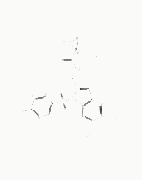 COc1cc2c(cc1SC)cc(CNC(=O)C1(C)CC1)n2S(=O)(=O)c1ccc(C)cc1